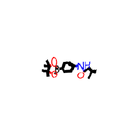 CC(C)CC(=O)Nc1ccc(B2OC(C)(C)C(C)(C)O2)cc1